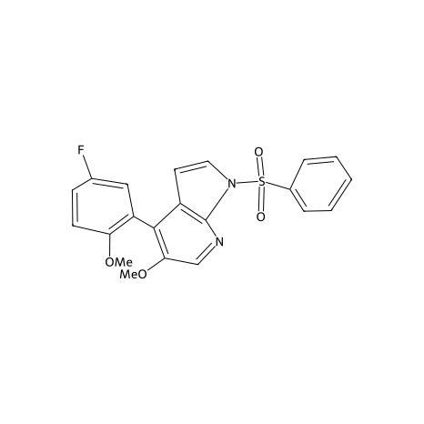 COc1ccc(F)cc1-c1c(OC)cnc2c1ccn2S(=O)(=O)c1ccccc1